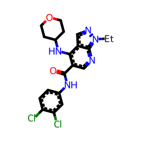 CCn1ncc2c(NC3CCOCC3)c(C(=O)Nc3ccc(Cl)c(Cl)c3)cnc21